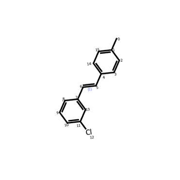 Cc1ccc(/C=C/c2[c]ccc(Cl)c2)cc1